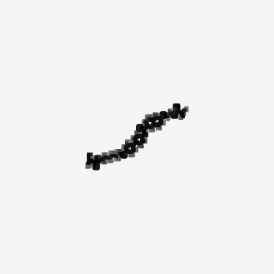 C=C(C)C(=O)OCCOc1ccc2cc(C(=O)Sc3ccc(-c4ccc(OCCCCCCOC(=O)C(=C)F)cc4)cc3)ccc2c1